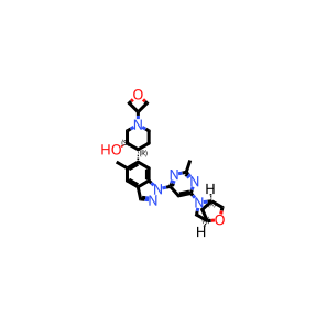 Cc1nc(N2C[C@H]3C[C@@H]2CO3)cc(-n2ncc3cc(C)c([C@H]4CCN(C5COC5)C[C@H]4O)cc32)n1